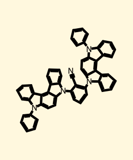 N#Cc1c(-n2c3ccccc3c3c4c5ccccc5n(-c5ccccc5)c4ccc32)cccc1-n1c2ccccc2c2c3c4ccccc4n(-c4ccccc4)c3ccc21